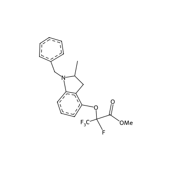 COC(=O)C(F)(Oc1cccc2c1CC(C)N2Cc1ccccc1)C(F)(F)F